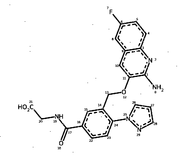 Nc1nc2ccc(F)cc2cc1OCc1cc(C(=O)NCC(=O)O)ccc1-n1cccn1